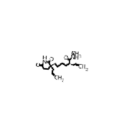 C=CC[C@H](CCCC[C@@]1(CC=C)CCC(=O)NC1=O)C(=O)NC